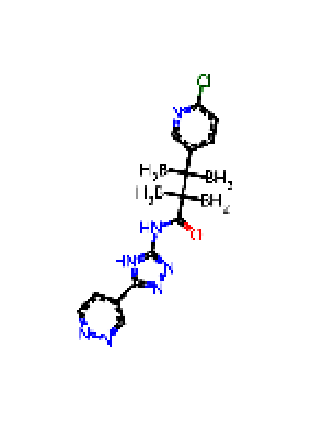 BC(B)(C(=O)Nc1nnc(-c2ccnnc2)[nH]1)C(B)(B)c1ccc(Cl)nc1